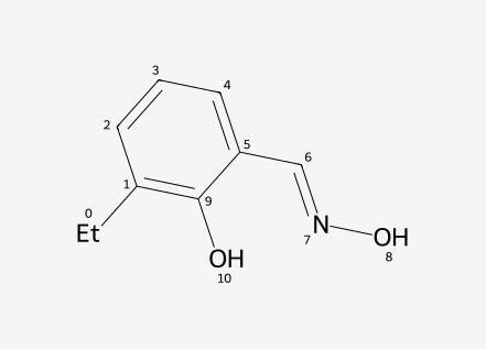 CCc1cccc(C=NO)c1O